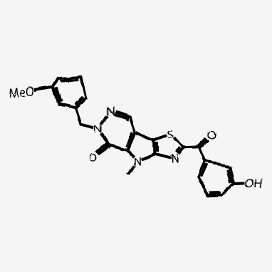 COc1cccc(Cn2ncc3c4sc(C(=O)c5cccc(O)c5)nc4n(C)c3c2=O)c1